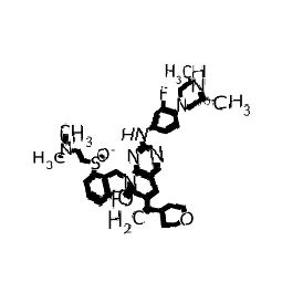 C=C(c1cc2cnc(Nc3ccc(N4C[C@@H](C)N[C@@H](C)C4)c(F)c3)nc2n(Cc2c(F)cccc2[S+]([O-])CCN(C)C)c1=O)C1CCOCC1